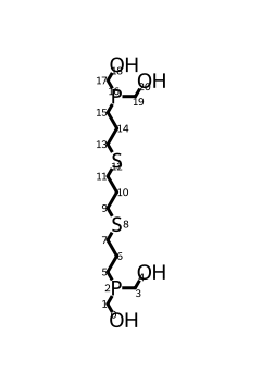 OCP(CO)CCCSCCCSCCCP(CO)CO